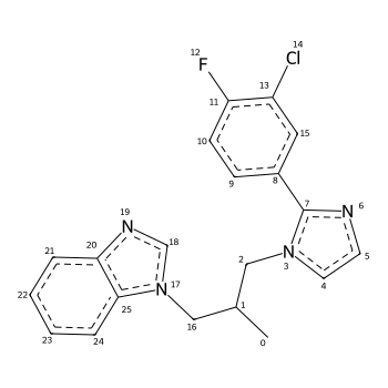 CC(Cn1ccnc1-c1ccc(F)c(Cl)c1)Cn1cnc2ccccc21